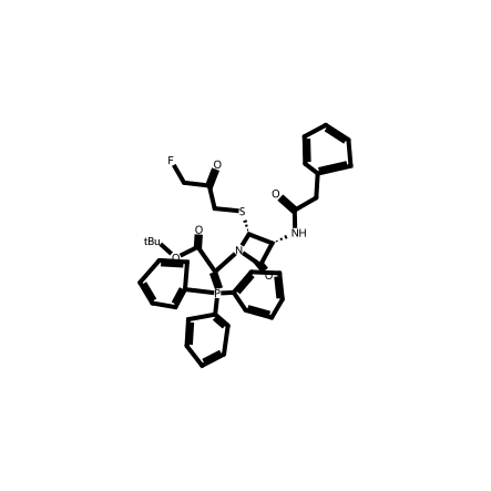 CC(C)(C)OC(=O)C(N1C(=O)[C@@H](NC(=O)Cc2ccccc2)[C@H]1SCC(=O)CF)=P(c1ccccc1)(c1ccccc1)c1ccccc1